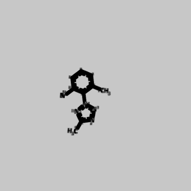 Cc1nnn(-c2c(C)cccc2Br)n1